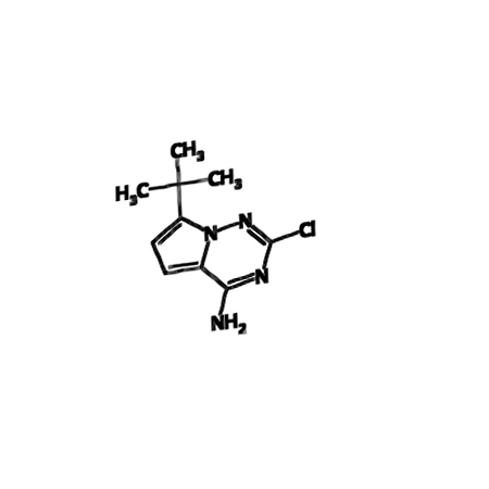 CC(C)(C)c1ccc2c(N)nc(Cl)nn12